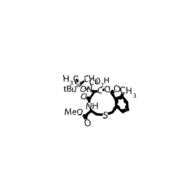 COC(=O)C1CSCc2cccc(C)c2C(=O)OCC(N(O[Si](C)(C)C(C)(C)C)C(=O)O)C(=O)N1